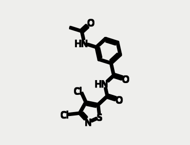 CC(=O)Nc1cccc(C(=O)NC(=O)c2snc(Cl)c2Cl)c1